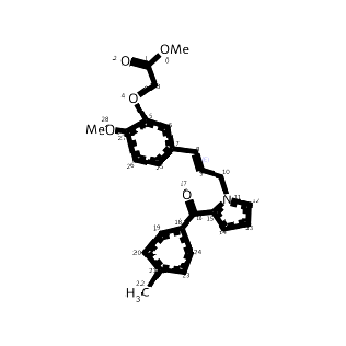 COC(=O)COc1cc(/C=C/Cn2cccc2C(=O)c2ccc(C)cc2)ccc1OC